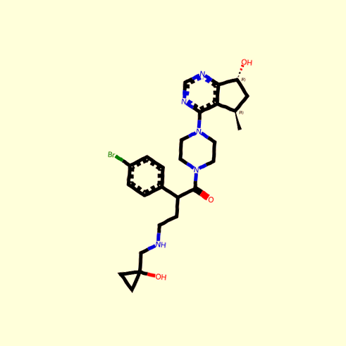 C[C@@H]1C[C@@H](O)c2ncnc(N3CCN(C(=O)C(CCNCC4(O)CC4)c4ccc(Br)cc4)CC3)c21